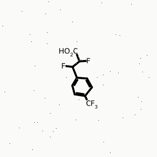 O=C(O)C(F)C(F)c1ccc(C(F)(F)F)cc1